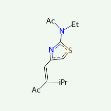 CCN(C(C)=O)c1nc(/C=C(/C(C)=O)C(C)C)cs1